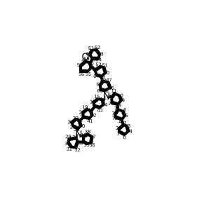 c1ccc(-c2ccc(-c3cccc(N(c4ccc(-c5ccc(-c6cccc(-n7c8ccccc8c8ccccc87)c6)cc5)cc4)c4ccc(-c5cccc(-c6cccc7oc8ccccc8c67)c5)cc4)c3)cc2)cc1